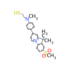 CN(CCS)c1ccc(-c2cc[n+]3c(c2)C(C)(C)c2cc(S(C)(=O)=O)ccc2-3)cc1